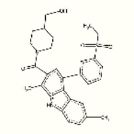 CCS(=O)(=O)c1cccc(-c2cc(C(=O)N3CCC(CO)CC3)c(C)c3[nH]c4ncc(C)cc4c23)c1